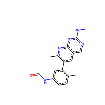 CNc1ncc2cc(-c3cc(NC=O)ccc3C)c(C)nc2n1